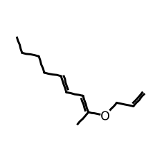 C=CCOC(C)=CC=CCCCC